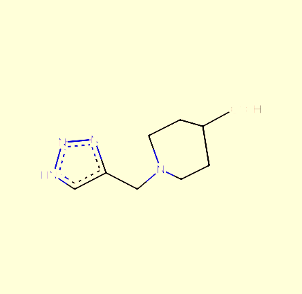 O=C(O)C1CCN(Cc2c[nH]nn2)CC1